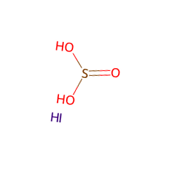 I.O=S(O)O